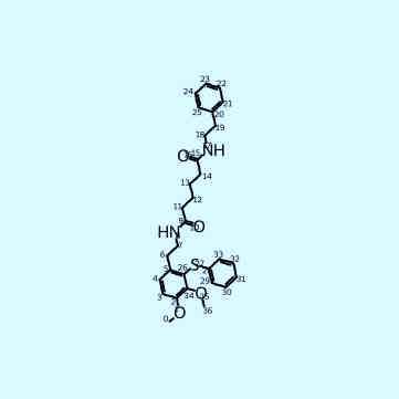 COc1ccc(CCNC(=O)CCCCC(=O)NCCc2ccccc2)c(Sc2ccccc2)c1OC